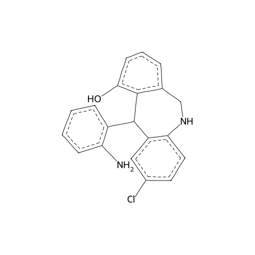 Nc1ccccc1C1c2cc(Cl)ccc2NCc2cccc(O)c21